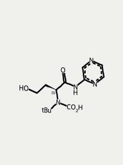 CC(C)(C)N(C(=O)O)[C@@H](CCO)C(=O)Nc1cnccn1